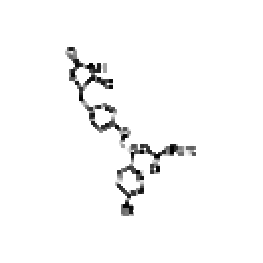 CCCCCC(=O)O[C@@H](COc1ccc(CC2SC(=O)NC2=O)cc1)c1ccc(CC)cn1